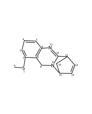 CSc1cccc2c1CN1C(=N2)C2C=CC1C2